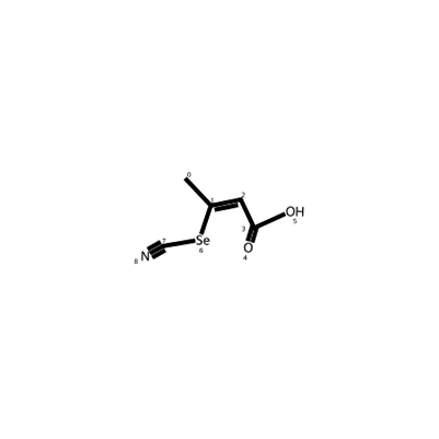 C/C(=C/C(=O)O)[Se]C#N